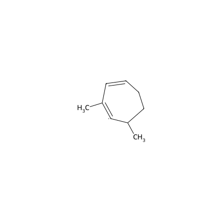 CC1=[C]C(C)CCC=C1